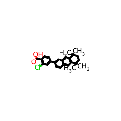 CC1(C)CCC(C)(C)c2cc3cc(-c4ccc(C(=O)O)c(Cl)c4)ccc3cc21